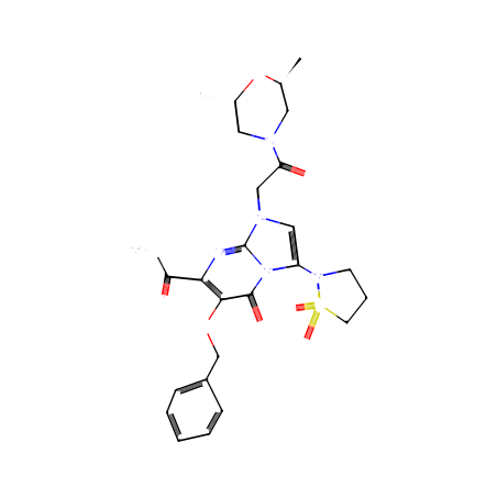 COC(=O)c1nc2n(CC(=O)N3C[C@H](C)O[C@@H](C)C3)cc(N3CCCS3(=O)=O)n2c(=O)c1OCc1ccccc1